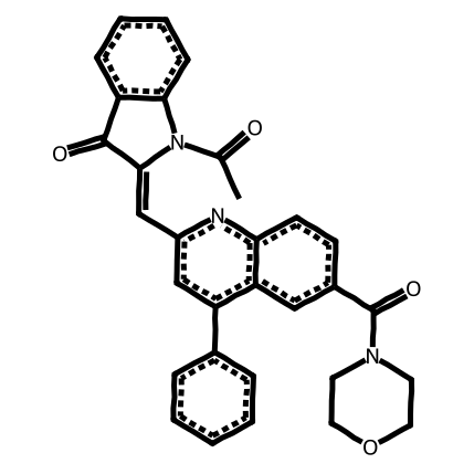 CC(=O)N1/C(=C\c2cc(-c3ccccc3)c3cc(C(=O)N4CCOCC4)ccc3n2)C(=O)c2ccccc21